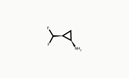 N[C@@H]1C[C@@H]1C(F)F